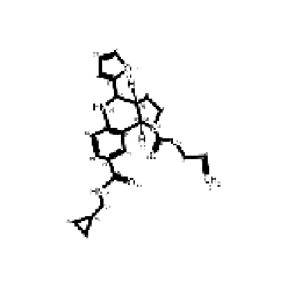 C=CCOC(=O)N1CC[C@H]2C(c3ccco3)Nc3ccc(C(=O)NCC4CC4)cc3[C@H]21